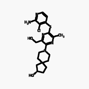 Cc1nc(N2CCC3(CC[C@@H](O)C3)CC2)c(CO)nc1Sc1ccnc(N)c1Cl